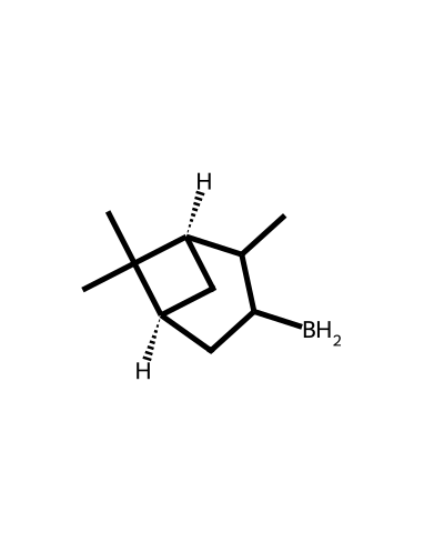 BC1C[C@@H]2C[C@H](C1C)C2(C)C